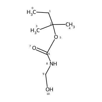 CCC(C)(C)OC(=O)NCO